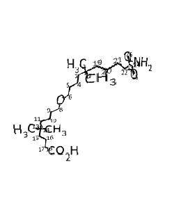 CC(C)(CCCCOCCCCC(C)(C)CCCC(=O)O)CCCCS(N)(=O)=O